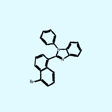 Brc1cccc2c(-c3nc4ccccc4n3-c3ccccc3)cccc12